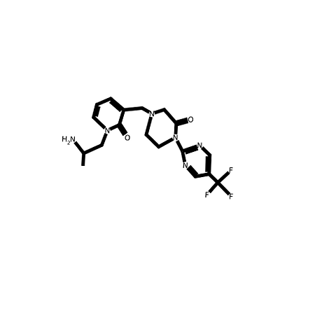 CC(N)Cn1cccc(CN2CCN(c3ncc(C(F)(F)F)cn3)C(=O)C2)c1=O